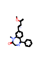 C=C(/C=C/c1ccc2c(c1)N(C)C(=O)CN=C2c1ccccc1)OC